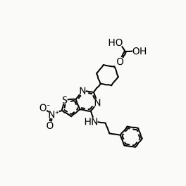 O=C(O)O.O=[N+]([O-])c1cc2c(NCCc3ccccc3)nc(C3CCCCC3)nc2s1